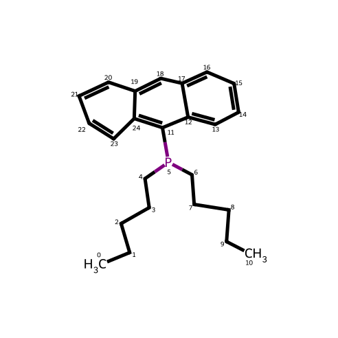 CCCCCP(CCCCC)c1c2ccccc2cc2ccccc12